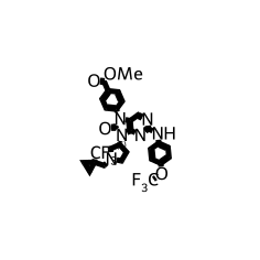 COC(=O)c1ccc(-n2c(=O)n([C@H]3CCN(CC4(C(F)(F)F)CC4)C3)c3nc(Nc4ccc(OC(F)(F)F)cc4)ncc32)cc1